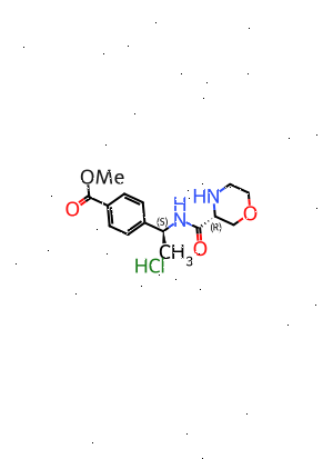 COC(=O)c1ccc([C@H](C)NC(=O)[C@H]2COCCN2)cc1.Cl